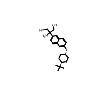 CC(C)(C)[C@H]1CC[C@H](Oc2ccc3cc(C(N)(CO)CO)ccc3c2)CC1